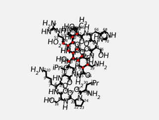 CC(C)C[C@H](NC(=O)[C@H](CCCCN)NC(=O)[C@H](CO)NC(=O)[C@@H]1CCCN1C(=O)[C@@H](N)CC(C)C)C(=O)N[C@@H](CCCCN)C(=O)N[C@@H](CC(C)C)C(=O)N[C@@H](CCCNC(=N)N)C(=O)N[C@H](C(=O)N[C@@H](Cc1c[nH]cn1)C(=O)N[C@@H](CO)C(=O)N[C@@H](CCC(N)=O)C(=O)N[C@@H](CO)C(=O)N[C@@H](Cc1c[nH]cn1)C(=O)O)[C@@H](C)O